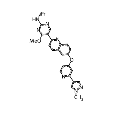 COc1nc(NC(C)C)ncc1-c1ccc2cc(Oc3ccnc(-c4cnn(C)c4)c3)ccc2n1